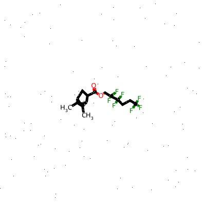 CC1C2CC(C(=O)OCC(F)(F)C(F)(F)CCC(F)(F)F)C(C2)C1C